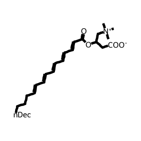 CCCCCCCCCCCCCC=CC=CC=CC=CC=CC(=O)OC(CC(=O)[O-])C[N+](C)(C)C